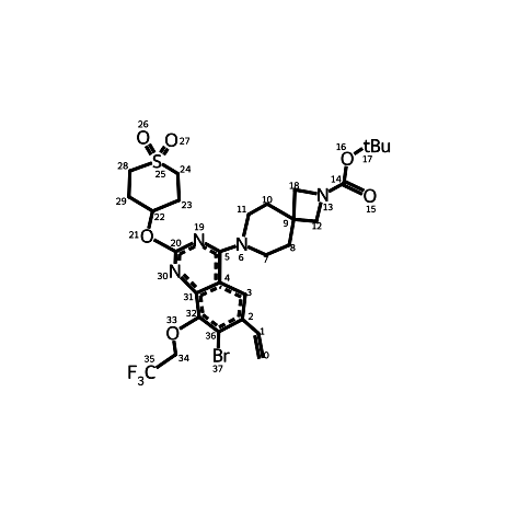 C=Cc1cc2c(N3CCC4(CC3)CN(C(=O)OC(C)(C)C)C4)nc(OC3CCS(=O)(=O)CC3)nc2c(OCC(F)(F)F)c1Br